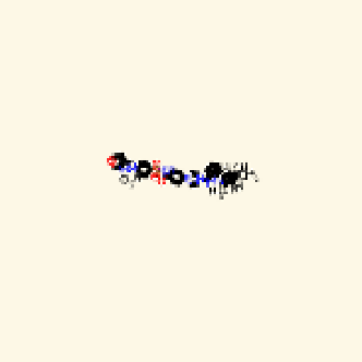 C[C@H]1[C@@H](Nc2ccccc2CN2CCN(c3ccc(C(=O)NS(=O)(=O)c4ccc(NCC5CCOCC5)c([N+](=O)[O-])c4)cc3)CC2)C[C@H]2C[C@H]1C2(C)C